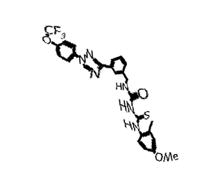 COc1ccc(NC(=S)NC(=O)NCc2cccc(-c3ncn(-c4ccc(OC(F)(F)F)cc4)n3)c2)c(C)c1